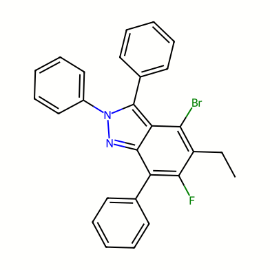 CCc1c(F)c(-c2ccccc2)c2nn(-c3ccccc3)c(-c3ccccc3)c2c1Br